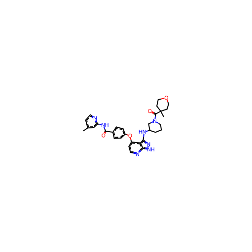 Cc1ccnc(NC(=O)c2ccc(Oc3ccnc4[nH]nc(NC5CCCN(C(=O)C6(C)CCOCC6)C5)c34)cc2)c1